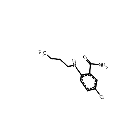 NC(=O)c1cc(Cl)ccc1NCCCC(F)(F)F